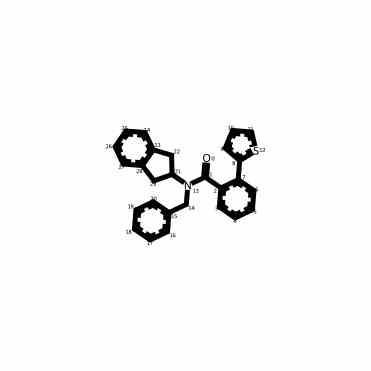 O=C(c1ccccc1-c1cccs1)N(Cc1ccccc1)C1Cc2ccccc2C1